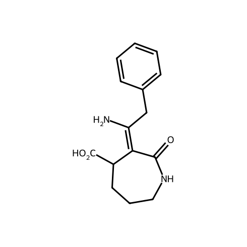 NC(Cc1ccccc1)=C1C(=O)NCCCC1C(=O)O